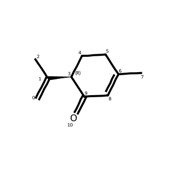 C=C(C)[C@H]1CCC(C)=CC1=O